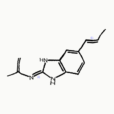 C=C(C)/N=c1/[nH]c2ccc(/C=C/C)cc2[nH]1